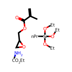 C=C(C)C(=O)OCC1CO1.CCC[Si](OCC)(OCC)OCC.CCOC(N)=O